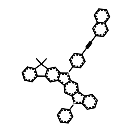 CC1(C)c2ccccc2-c2cc3c4cc5c(cc4n(-c4ccc(C#Cc6ccc7ccccc7c6)cc4)c3cc21)c1ccccc1n5-c1ccccc1